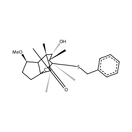 CO[C@@H]1CCC23CC[C@@H](C)[C@](C)(C12)[C@H](O)C[C@@](C)(SCc1ccccc1)C(=O)[C@@H]3C